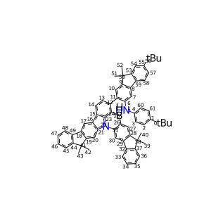 CC(C)(C)c1ccc(Nc2cc3c(cc2-c2ccc4c5cc6c(cc5n5c4c2Bc2cc4c(cc2-5)-c2ccccc2C4(C)C)C(C)(C)c2ccccc2-6)C(C)(C)c2cc(C(C)(C)C)ccc2-3)cc1